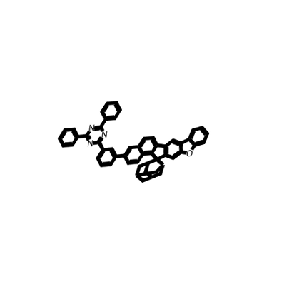 c1ccc(-c2nc(-c3ccccc3)nc(-c3cccc(-c4ccc5c6c(ccc5c4)-c4cc5c(cc4C64C6CC7CC(C6)CC4C7)oc4ccccc45)c3)n2)cc1